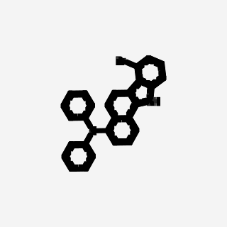 Brc1cccc2[nH]c3c4cccc(N(c5ccccc5)c5ccccc5)c4ccc3c12